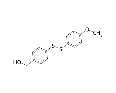 COc1ccc(SSc2ccc(CO)cc2)cc1